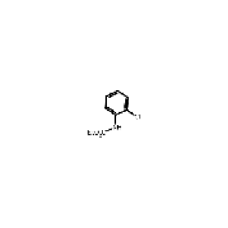 C[CH]OC(=O)Nc1ccccc1Cl